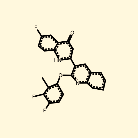 Cc1c(Oc2nc3ccccc3cc2-c2cc(=O)c3cc(F)ccc3[nH]2)ccc(F)c1F